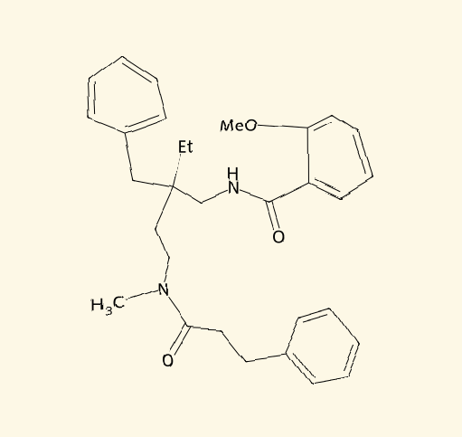 CCC(CCN(C)C(=O)CCc1ccccc1)(CNC(=O)c1ccccc1OC)Cc1ccccc1